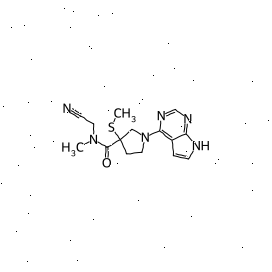 CSC1(C(=O)N(C)CC#N)CCN(c2ncnc3[nH]ccc23)C1